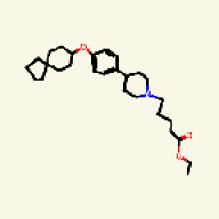 CCOC(=O)CCCCN1CCC(c2ccc(OC3CCC4(CCCC4)CC3)cc2)CC1